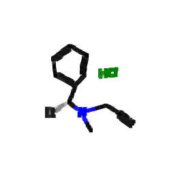 C#CCN(C)[C@H](CC)c1ccccc1.Cl